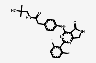 CC(C)(O)CNC(=O)Cc1ccc(Nc2nc(-c3c(F)cccc3F)nc3c2C(=O)NC3)cc1